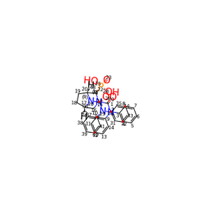 O=C(N(c1ccccc1)c1ccccc1)N1C[C@@H]2CC[C@H]([C@H]1P(=O)(O)O)N2C(=O)N(c1ccccc1)c1ccccc1